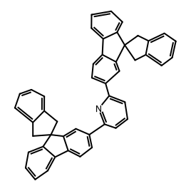 c1cc(-c2ccc3c(c2)C2(Cc4ccccc4C2)c2ccccc2-3)nc(-c2ccc3c(c2)C2(Cc4ccccc4C2)c2ccccc2-3)c1